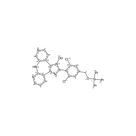 CC(C)[Si](OCc1cc(Cl)c(-c2nc3c(n2O)-c2ccncc2Nc2ncccc2-3)c(Cl)c1)(C(C)C)C(C)C